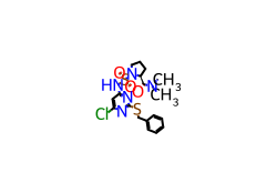 CN(C)C(=O)[C@@H]1CCCN1S(=O)(=O)Nc1cc(Cl)nc(SCc2ccccc2)n1